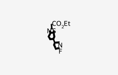 CCOC(=O)Cc1nc2ccc(-c3ccc(F)nc3)cc2s1